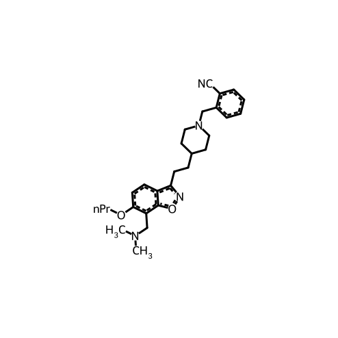 CCCOc1ccc2c(CCC3CCN(Cc4ccccc4C#N)CC3)noc2c1CN(C)C